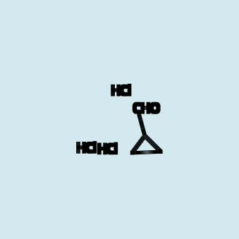 Cl.Cl.Cl.O=CC1CC1